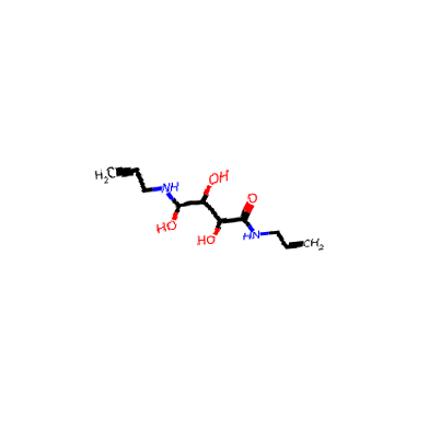 C=CCNC(=O)C(O)C(O)C(O)NCC=C